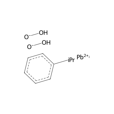 CC(C)c1ccccc1.[O-]O.[O-]O.[Pb+2]